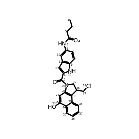 CCCC(=O)Nc1ccc2[nH]c(C(=O)N3CC(CCl)c4c3cc(O)c3ccccc43)cc2c1